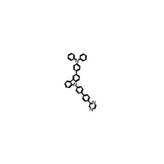 c1ccc(N(c2ccccc2)c2ccc(-c3ccc4c(c3)c3ccccc3n4-c3ccc(-c4ccc(-c5cnccn5)cc4)cc3)cc2)cc1